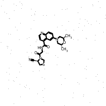 C[C@@H]1CN(c2ccc3nccc(C(=O)NCC(=O)N4CSC[C@H]4C#N)c3c2)C[C@@H](C)O1